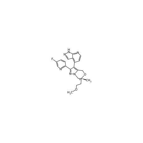 COCC[C@]1(C)Cn2nc(-c3ccc(F)cn3)c(-c3ccnc4[nH]ncc34)c2CO1